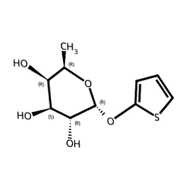 C[C@H]1O[C@H](Oc2cccs2)[C@H](O)[C@@H](O)[C@H]1O